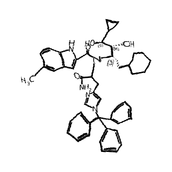 Cc1ccc2[nH]c(C(=O)N(C(Cc3cn(C(c4ccccc4)(c4ccccc4)c4ccccc4)cn3)C(N)=O)[C@@H](CC3CCCCC3)[C@@H](O)[C@@H](O)C3CC3)cc2c1